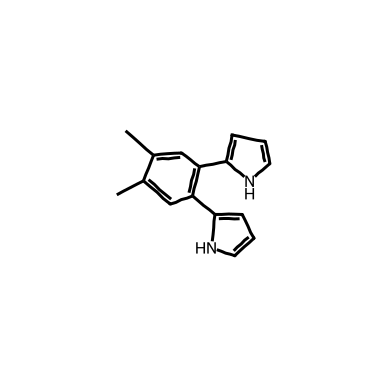 Cc1cc(-c2ccc[nH]2)c(-c2ccc[nH]2)cc1C